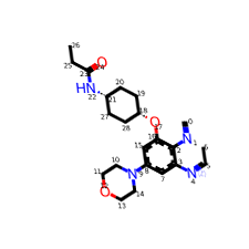 C=Nc1c(/N=C\C)cc(N2CCOCC2)cc1O[C@H]1CC[C@@H](NC(=O)CC)CC1